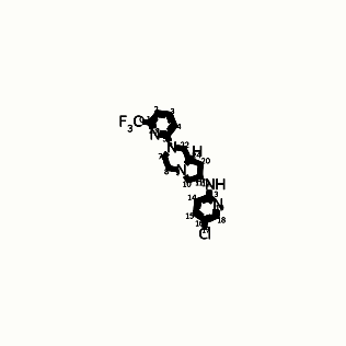 FC(F)(F)c1cccc(N2CCN3C[C@@H](Nc4ccc(Cl)cn4)C[C@H]3C2)n1